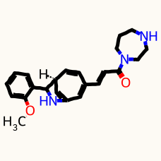 COc1ccccc1C1NC2=C[C@@H]1C=CC(/C=C/C(=O)N1CCCNCC1)=C2